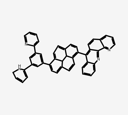 C1=CCNC(c2cc(C3=CC=C4C=CC5=C(c6c7ccccc7nc7c6ccc6cccnc67)C=CC6=CC=C3C4C65)cc(-c3ccccn3)c2)=C1